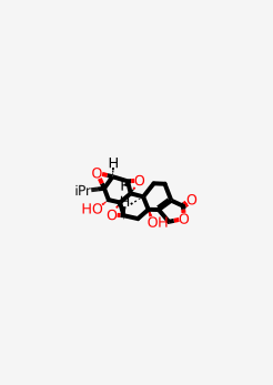 CC(C)C12O[C@H]1[C@@H]1O[C@]13[C@]1(O[C@H]1C[C@@]1(O)C4=C(CC[C@]31C)C(=O)OC4)[C@@H]2O